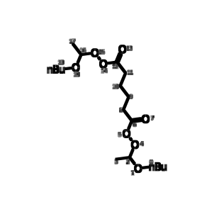 CCCCOC(C)OOC(=O)CCCCC(=O)OOC(C)OCCCC